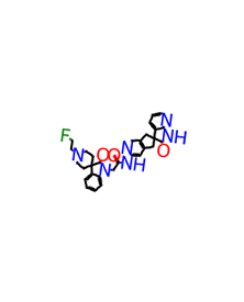 O=C(CN1C(=O)C2(CCN(CCF)CC2)c2ccccc21)Nc1cc2c(cn1)CC1(C2)C(=O)Nc2ncccc21